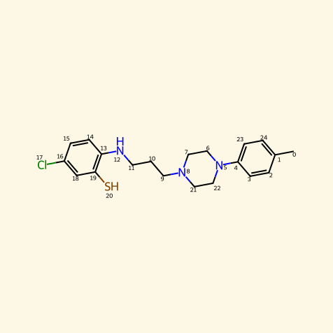 Cc1ccc(N2CCN(CCCNc3ccc(Cl)cc3S)CC2)cc1